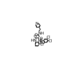 O=C(C[C@@H]1C(=O)Nc2ccccc2N1S(=O)(=O)c1cc(Cl)c(Cl)cc1Cl)NCCc1ccncc1